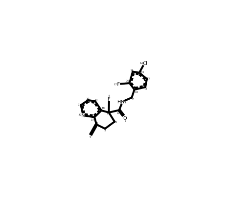 C=C1CCC(F)(C(=O)NCc2ccc(Cl)cc2F)c2cccnc21